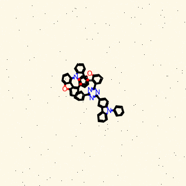 c1ccc(-c2nc(-c3ccc4c(c3)c3ccccc3n4-c3ccccc3)nc(-c3cccc4oc5ccc(-c6cccc7oc8cccc(-n9c%10ccccc%10c%10ccccc%109)c8c67)cc5c34)n2)cc1